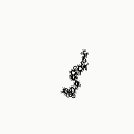 Cc1nc2ccc(Oc3ccc4ncc(-c5cnn(CC6CCN(C(=O)OC(C)(C)C)S(=O)(=O)C6)c5)nc4c3Cl)cc2n1COCC[Si](C)(C)C